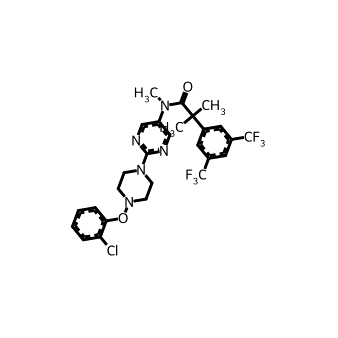 CN(C(=O)C(C)(C)c1cc(C(F)(F)F)cc(C(F)(F)F)c1)c1cnc(N2CCN(Oc3ccccc3Cl)CC2)nc1